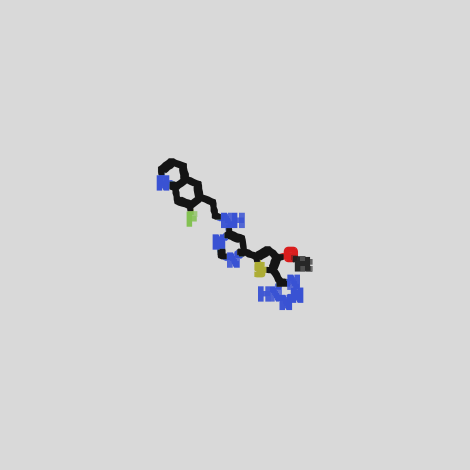 CCOc1cc(-c2cc(NCCc3cc4cccnc4cc3F)ncn2)sc1-c1nnn[nH]1